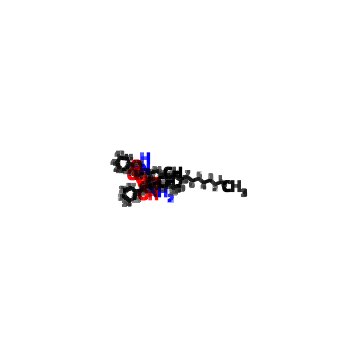 CCCCCCCCc1ccc(CCC(N)(CO)COP(=O)(NC(CC(C)C)C(=O)OCc2ccccc2)Oc2ccccc2)cc1